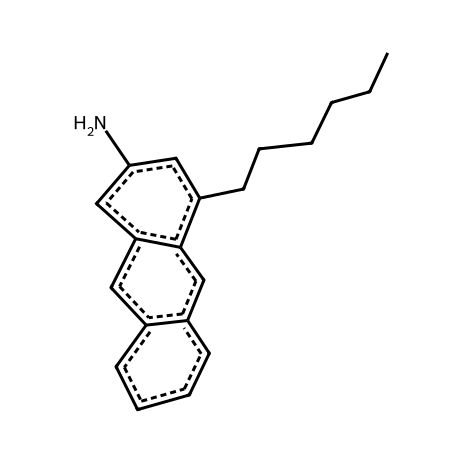 CCCCCCc1cc(N)cc2cc3ccccc3cc12